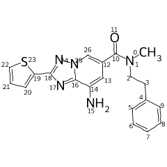 CN(CCc1ccccc1)C(=O)c1cc(N)c2nc(-c3cccs3)nn2c1